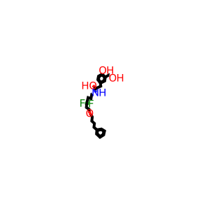 OCc1cc(CC(O)NCCCC(F)(F)CCOCCCCc2ccccc2)ccc1O